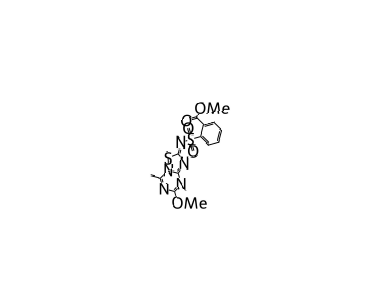 COC(=O)c1ccccc1S(=O)(=O)N=c1nc2nc(OC)nc(C)n2s1